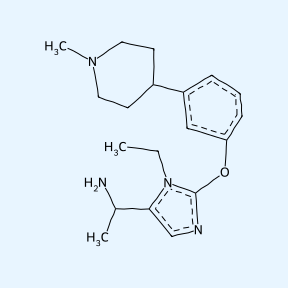 CCn1c(C(C)N)cnc1Oc1cccc(C2CCN(C)CC2)c1